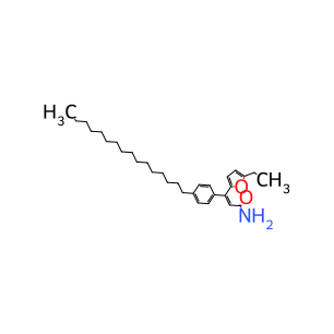 CCCCCCCCCCCCCCCCc1ccc(C(=CC(N)=O)c2ccc(CC)o2)cc1